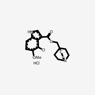 COc1ccc2[nH]cc(C(=O)OCC34CCN(CC3)CC4)c2c1Cl.Cl